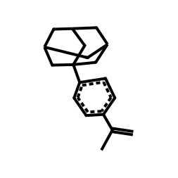 C=C(C)c1ccc(C23CC4CC(CC(C4)C2)C3)cc1